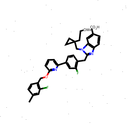 COCCC1(Cn2c(Cc3ccc(-c4cccc(OCc5ccc(C)cc5F)n4)cc3F)nc3ccc(C(=O)O)cc32)CC1